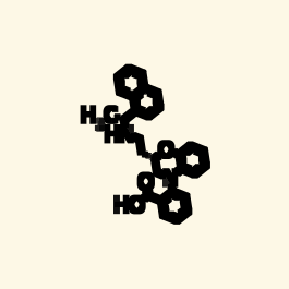 C[C@@H](NCC[C@H]1CN(c2ccccc2C(=O)O)c2ccccc2O1)c1cccc2ccccc12